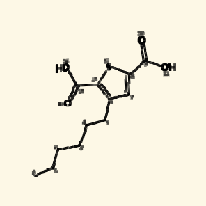 CCCCCCc1cc(C(=O)O)sc1C(=O)O